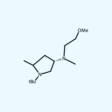 COCCN(C)[C@H]1CC(C)N(C(C)(C)C)C1